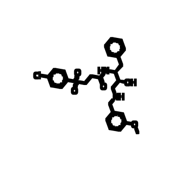 COc1cccc(CNC[C@H](O)[C@H](Cc2ccccc2)NC(=O)CCS(=O)(=O)c2ccc(Cl)cc2)c1